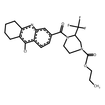 CCCOC(=O)N1CCN(C(=O)c2ccc3c(Cl)c4c(nc3c2)CCCC4)C(C(F)(F)F)C1